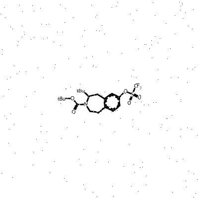 CC(C)(C)OC(=O)N1CCc2ccc(OS(=O)(=O)C(F)(F)F)cc2CC1C(C)(C)C